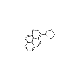 c1cc2ccc3ccc(C4CCCCC4)c4ccc(c1)c2c34